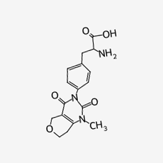 Cn1c2c(c(=O)n(-c3ccc(CC(N)C(=O)O)cc3)c1=O)COCC2